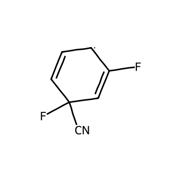 N#CC1(F)C=C[CH]C(F)=C1